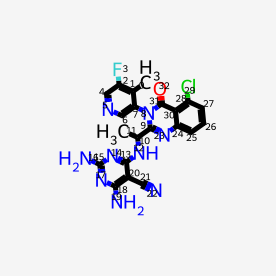 Cc1c(F)cncc1-n1c(C(C)Nc2nc(N)nc(N)c2C#N)nc2cccc(Cl)c2c1=O